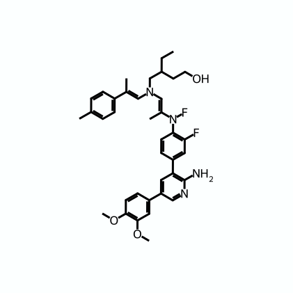 CCC(CCO)CN(/C=C(\C)c1ccc(C)cc1)/C=C(\C)N(F)c1ccc(-c2cc(-c3ccc(OC)c(OC)c3)cnc2N)cc1F